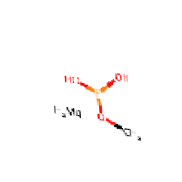 COP(O)O.[MgH2]